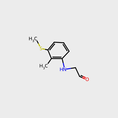 CSc1cccc(NCC=O)c1C